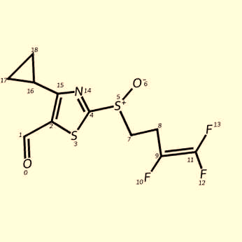 O=Cc1sc([S+]([O-])CCC(F)=C(F)F)nc1C1CC1